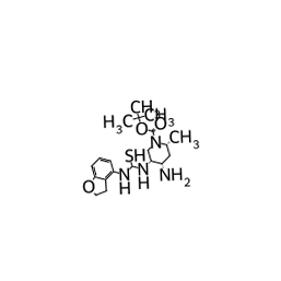 C[C@@H]1C[C@H](N)[C@H](NC(S)Nc2cccc3c2CCO3)CN1C(=O)OC(C)(C)C